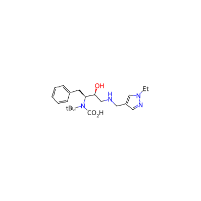 CCn1cc(CNC[C@H](O)[C@H](Cc2ccccc2)N(C(=O)O)C(C)(C)C)cn1